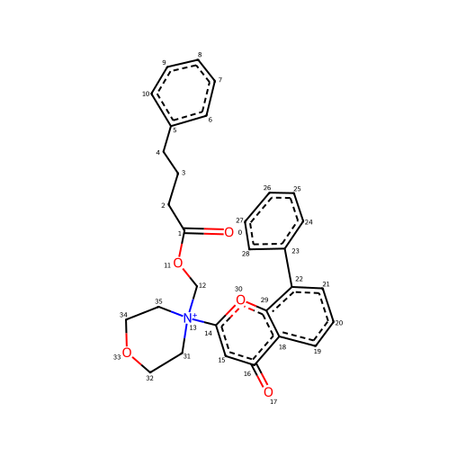 O=C(CCCc1ccccc1)OC[N+]1(c2cc(=O)c3cccc(-c4ccccc4)c3o2)CCOCC1